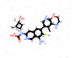 Cc1c(-c2cc3cc(N(C(=O)O)[C@H]4C[C@](C)(O)[C@@H]4C)ncc3c(N)c2F)cnc2c1NCCO2